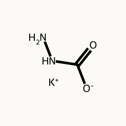 NNC(=O)[O-].[K+]